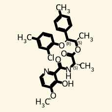 COc1ccnc(C(=O)N[C@@H](C)C(=O)O[C@@H](C)[C@H](Oc2ccc(C)cc2Cl)c2ccc(C)cc2)c1O